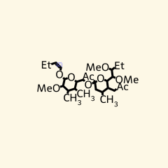 CC/C=C\OC1OC(COC2(C(C)=O)CC(C)C(CC(C)=O)C(C(OC)C(CC)OC)O2)C(C)C(C)C1OC